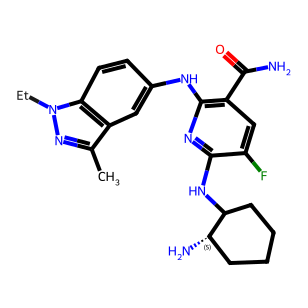 CCn1nc(C)c2cc(Nc3nc(NC4CCCC[C@@H]4N)c(F)cc3C(N)=O)ccc21